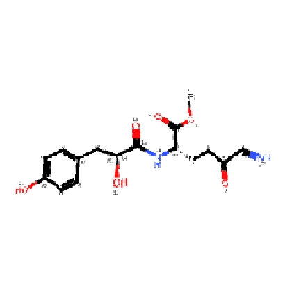 CC(C)OC(=O)[C@H](CCC(=O)C=N)NC(=O)[C@@H](O)Cc1ccc(O)cc1